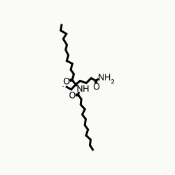 [CH2]CC(CCCC(N)=O)(NC(=O)CCCCCCCCCCC)C(=O)CCCCCCCCCCC